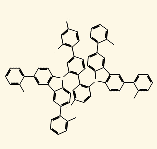 Cc1ccccc1-c1ccc2c(c1)c1cc(-c3ccccc3C)ccc1n2-c1ccc(C#N)cc1-c1ccc(-c2ccc(C#N)cc2C(F)(F)F)cc1-n1c2ccc(-c3ccccc3C)cc2c2cc(-c3ccccc3C)ccc21